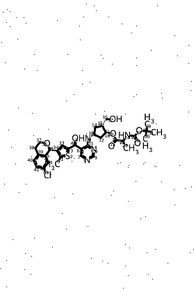 Cc1sc(C(=O)c2cncnc2N[C@@H]2C[C@H](CO)[C@@H](OC(=O)[C@H](C)NC(=O)OC(C)(C)C)C2)cc1[C@@H]1OCCc2ccc(Cl)cc21